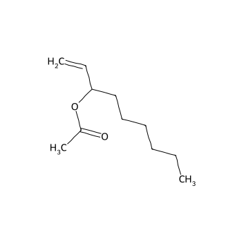 C=CC(CCCCCC)OC(C)=O